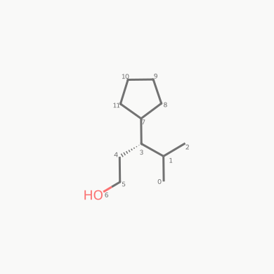 CC(C)[C@H](CCO)C1CCCC1